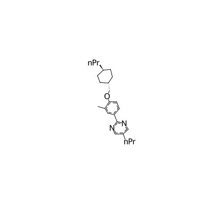 CCCc1cnc(-c2ccc(OC[C@H]3CC[C@H](CCC)CC3)c(C)c2)nc1